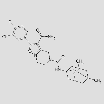 CC12CC3CC(C)(C1)CC(NC(=O)N1CCn4nc(-c5ccc(F)c(Cl)c5)c(C(N)=O)c4C1)(C3)C2